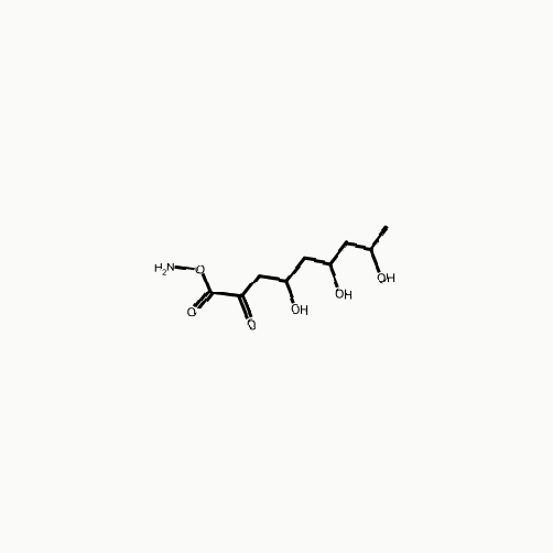 CC(O)CC(O)CC(O)CC(=O)C(=O)ON